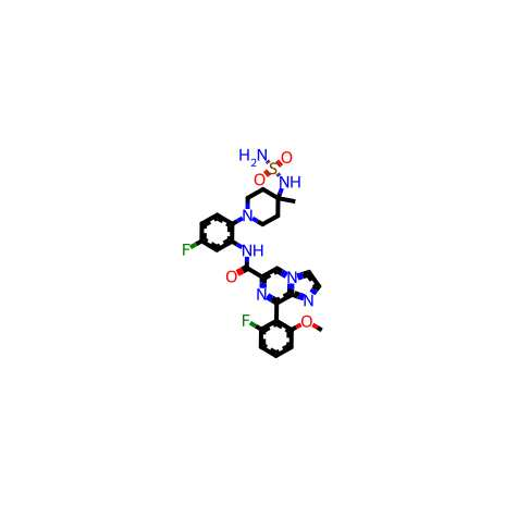 COc1cccc(F)c1-c1nc(C(=O)Nc2cc(F)ccc2N2CCC(C)(NS(N)(=O)=O)CC2)cn2ccnc12